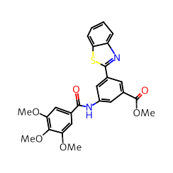 COC(=O)c1cc(NC(=O)c2cc(OC)c(OC)c(OC)c2)cc(-c2nc3ccccc3s2)c1